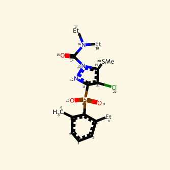 CCc1cccc(C)c1S(=O)(=O)c1nn(C(=O)N(CC)CC)c(SC)c1Cl